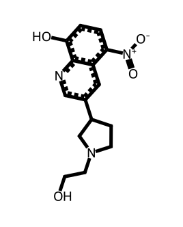 O=[N+]([O-])c1ccc(O)c2ncc(C3CCN(CCO)C3)cc12